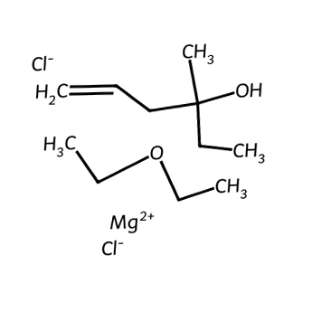 C=CCC(C)(O)CC.CCOCC.[Cl-].[Cl-].[Mg+2]